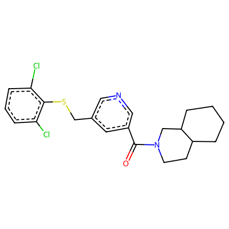 O=C(c1cncc(CSc2c(Cl)cccc2Cl)c1)N1CCC2CCCCC2C1